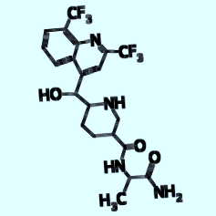 CC(NC(=O)C1CCC(C(O)c2cc(C(F)(F)F)nc3c(C(F)(F)F)cccc23)NC1)C(N)=O